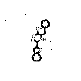 O=C(NC(Cc1ccccc1)C(=O)O)c1cc2ccccc2o1